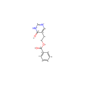 O=C(OCCc1cnc[nH]c1=O)c1ccccc1